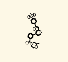 CC1CN(C(=O)c2cccc(-c3ccnc4cc(-c5ccc(S(C)(=O)=O)cc5)oc34)c2)CCO1